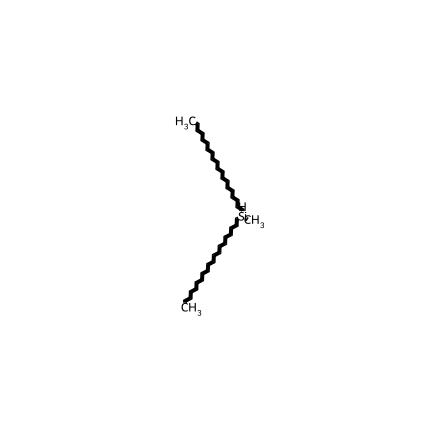 CCCCCCCCCCCCCCCCCCCC[SiH](C)CCCCCCCCCCCCCCCCCCCC